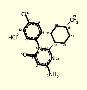 Cl.Nc1cc(=O)n(-c2ccc(Cl)cc2)c([C@H]2CC[C@@H](C(F)(F)F)CC2)n1